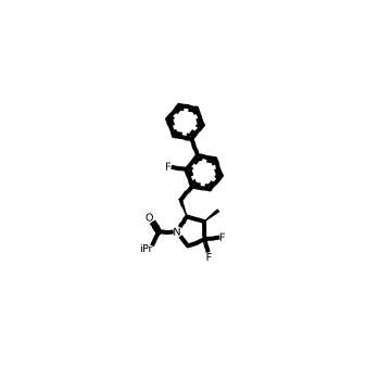 CC(C)C(=O)N1CC(F)(F)[C@H](C)[C@@H]1Cc1cccc(-c2ccccc2)c1F